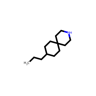 CCCC1CCC2(CCNCC2)CC1